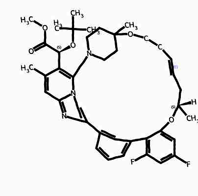 COC(=O)[C@@H](OC(C)(C)C)c1c(C)cc2nc3cn2c1N1CCC(C)(CC1)OCC/C=C/C[C@H](C)Oc1cc(F)cc(F)c1-c1cccc-3c1